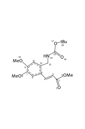 COC(=O)/C=C/c1cc(OC)c(OC)cc1CNC(=O)OC(C)(C)C